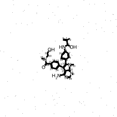 C=C(C)C(O)Nc1ccc(-c2c(-c3ccc(C(=O)N(C)CCO)cc3)c3c(N)ncnc3n2C)cc1